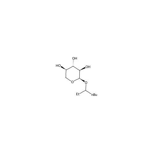 CCCCC(CC)O[C@H]1OC[C@@H](O)[C@H](O)[C@H]1O